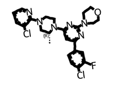 C[C@@H]1CN(c2ncccc2Cl)CCN1c1cc(-c2ccc(Cl)c(F)c2)nc(N2CCOCC2)n1